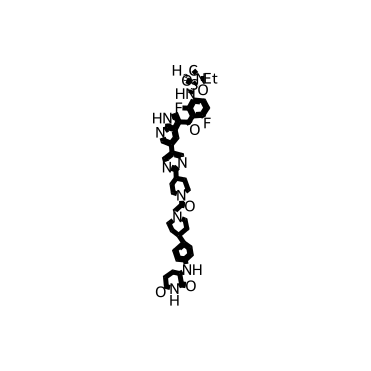 CCN(C)S(=O)(=O)Nc1ccc(F)c(C(=O)c2c[nH]c3ncc(-c4cnc(C5CCN(C(=O)CN6CCC(c7ccc(NC8CCC(=O)NC8=O)cc7)CC6)CC5)nc4)cc23)c1F